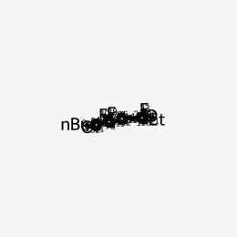 CCCCOc1ccc(-c2ccc(C3CCC(/C=C/c4ccc(OCC)c(F)c4)CC3)c(F)c2F)cc1